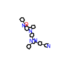 c1ccc(-c2cc(-c3ccc(-c4ccncc4)cc3)nc(-c3ccc(-n4c5ccccc5c5c6oc(-c7ccccc7)nc6ccc54)cc3)n2)cc1